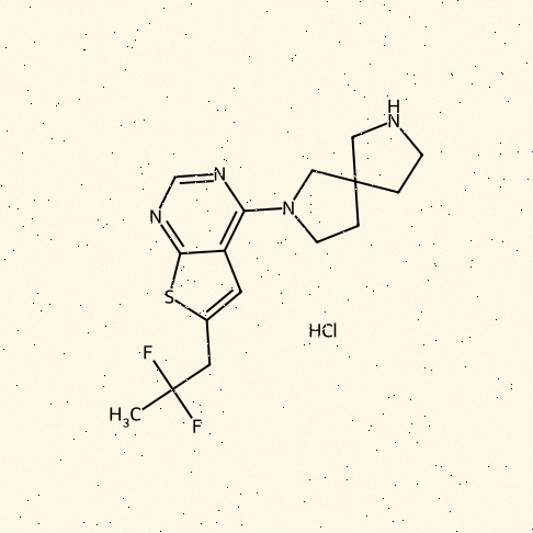 CC(F)(F)Cc1cc2c(N3CCC4(CCNC4)C3)ncnc2s1.Cl